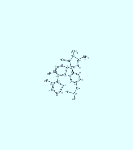 CN1C(=O)[C@@](c2ccc(OC(F)F)cc2)(c2ccc(F)c(-c3cccnc3F)c2)N=C1N